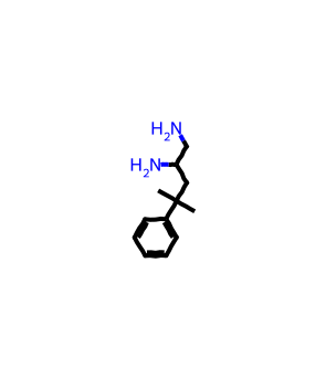 CC(C)(CC(N)CN)c1ccccc1